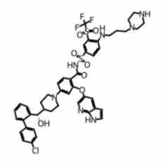 O=C(NS(=O)(=O)c1ccc(NCCCN2CCNCC2)c(S(=O)(=O)C(F)(F)F)c1)c1ccc(N2CCC([C@H](O)c3ccccc3-c3ccc(Cl)cc3)CC2)cc1Oc1cnc2[nH]ccc2c1